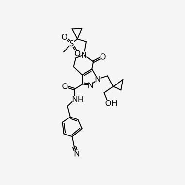 CS(=O)(=O)C1(CN2CCc3c(C(=O)NCc4ccc(C#N)cc4)nn(CC4(CO)CC4)c3C2=O)CC1